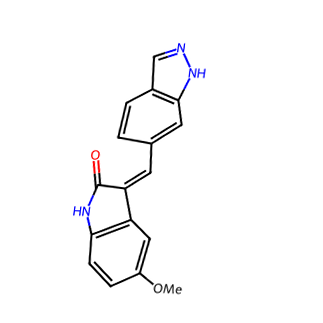 COc1ccc2c(c1)/C(=C/c1ccc3cn[nH]c3c1)C(=O)N2